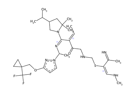 C/C=C(C(=O)CNCS/C(=C/NC)C(C)=N)\C(=N/C(C)n1ccc(OCC2(C(F)(F)F)CC2)n1)N1CC(C(C)C)CC1(C)C